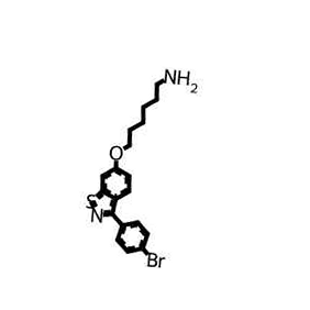 NCCCCCCOc1ccc2c(-c3ccc(Br)cc3)nsc2c1